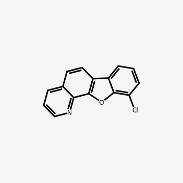 Clc1cccc2c1oc1c2ccc2cccnc21